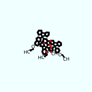 C#CCOc1ccc(C2(c3ccc(OCC#C)c(C4(c5c(OCC#C)ccc6cc(C7(c8ccc9cc(OCC#C)ccc9c8)c8ccccc8-c8ccccc87)ccc56)c5ccccc5-c5ccccc54)c3)c3ccccc3-c3ccccc32)cc1